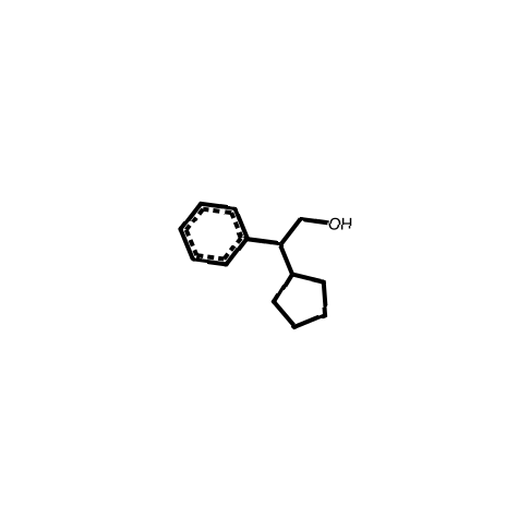 OCC(c1ccccc1)C1CCCC1